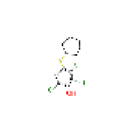 Oc1c(Cl)cc(SC2CCCCC2)c(Cl)c1Cl